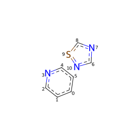 c1ccncc1.c1ncsn1